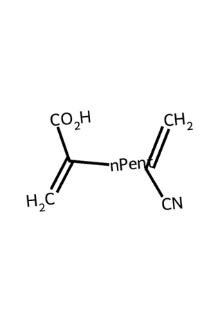 C=C(CCCCC)C(=O)O.C=CC#N